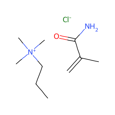 C=C(C)C(N)=O.CCC[N+](C)(C)C.[Cl-]